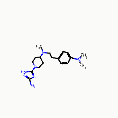 CN(C)c1ccc(CCN(C)C2CCN(c3nc(N)n[nH]3)CC2)cc1